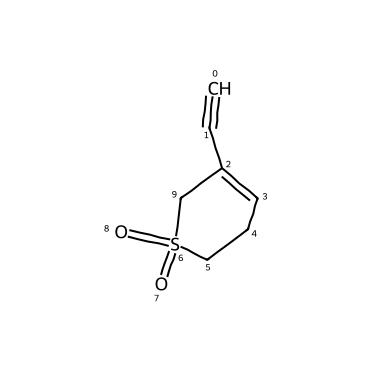 C#CC1=CCCS(=O)(=O)C1